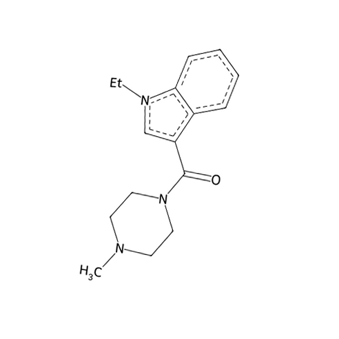 CCn1cc(C(=O)N2CCN(C)CC2)c2ccccc21